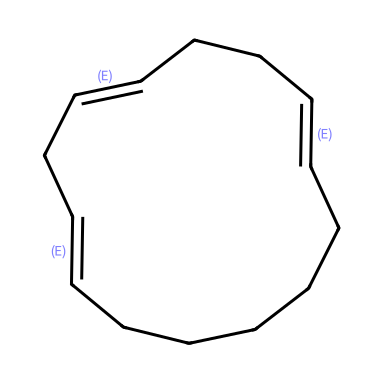 C1=C/CC/C=C/CCCCC/C=C/C/1